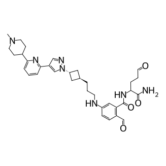 CN1CCC(c2cccc(-c3cnn([C@H]4C[C@H](CCCNc5ccc(C=O)c(C(=O)NC(CCC=O)C(N)=O)c5)C4)c3)n2)CC1